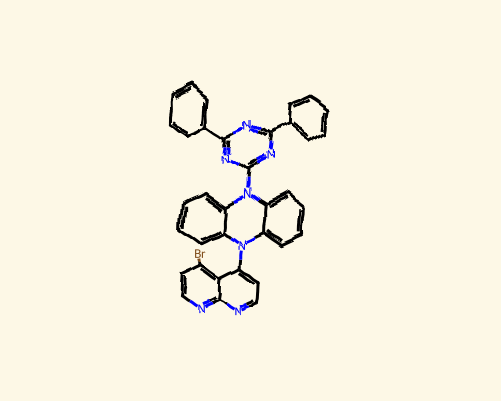 Brc1ccnc2nccc(N3c4ccccc4N(c4nc(-c5ccccc5)nc(-c5ccccc5)n4)c4ccccc43)c12